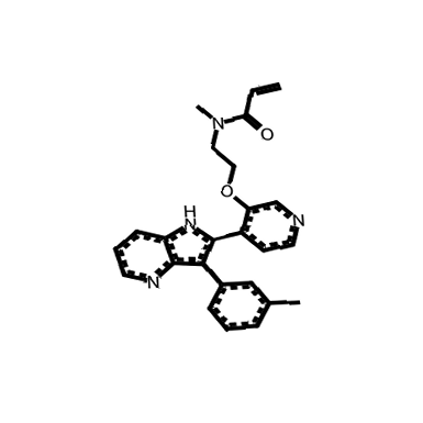 C=CC(=O)N(C)CCOc1cnccc1-c1[nH]c2cccnc2c1-c1cccc(C)c1